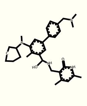 Cc1cc(C)c(CNC(O)c2cc(-c3ccc(CN(C)C)cc3)cc(N(C)C3CCCCC3)c2C)c(=O)[nH]1